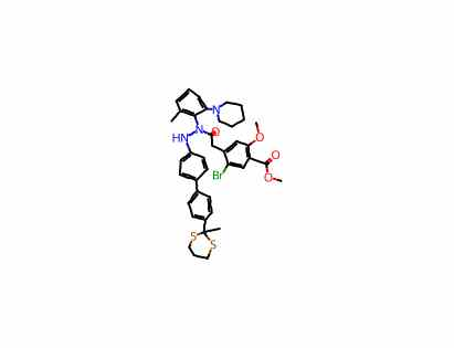 COC(=O)c1cc(Br)c(CC(=O)N(Nc2ccc(-c3ccc(C4(C)SCCCS4)cc3)cc2)c2c(C)cccc2N2CCCCC2)cc1OC